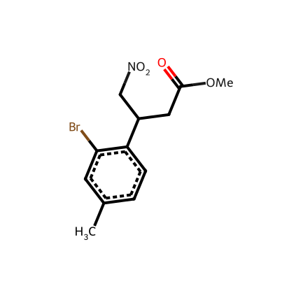 COC(=O)CC(C[N+](=O)[O-])c1ccc(C)cc1Br